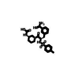 Cc1ccc(S(=O)(=O)N[C@@H](Cc2cccc(C(=N)N)c2)C(=O)N2CCC[C@H](NC(=O)O)C2)cc1